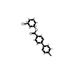 Cc1ccc(-c2ccc(C(=O)Oc3cccc(Cl)c3)cc2)cc1